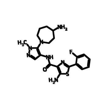 Cn1ncc(NC(=O)c2nc(-c3ccccc3F)sc2N)c1N1CCCC(N)CC1